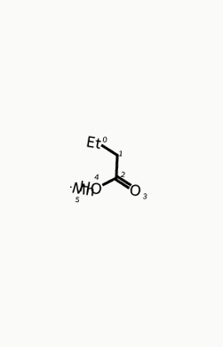 CCCC(=O)O.[Mn]